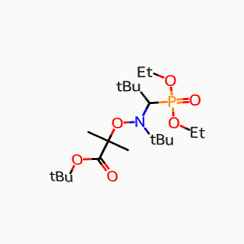 CCOP(=O)(OCC)C(N(OC(C)(C)C(=O)OC(C)(C)C)C(C)(C)C)C(C)(C)C